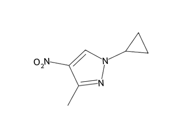 Cc1nn(C2CC2)cc1[N+](=O)[O-]